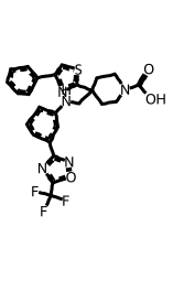 O=C(O)N1CCC(CNc2cccc(-c3noc(C(F)(F)F)n3)c2)(c2nc(-c3ccccc3)cs2)CC1